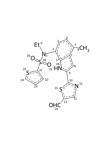 CCN(c1ccc(C)c2cc(-c3ncc(C=O)s3)[nH]c12)S(=O)(=O)c1cccs1